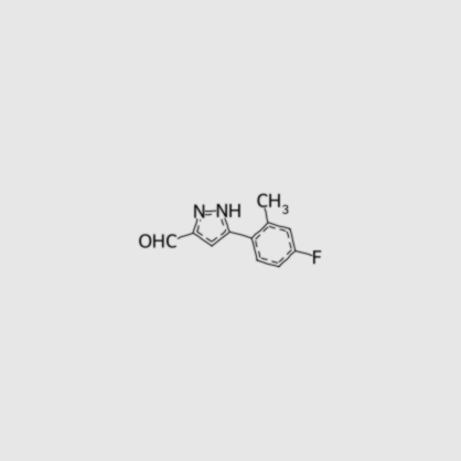 Cc1cc(F)ccc1-c1cc(C=O)n[nH]1